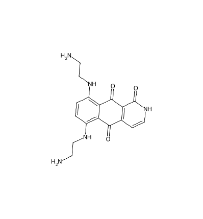 NCCNc1ccc(NCCN)c2c1C(=O)c1cc[nH]c(=O)c1C2=O